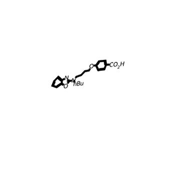 CCCCN(CCCCOc1ccc(C(=O)O)cc1)c1nc2ccccc2o1